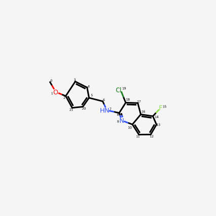 COc1ccc(CNc2nc3cccc(F)c3cc2Cl)cc1